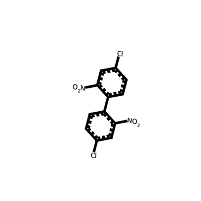 O=[N+]([O-])c1cc(Cl)ccc1-c1ccc(Cl)cc1[N+](=O)[O-]